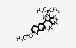 CCOc1ccc2cc(-c3nn(C(C)C)c4ncnc(N)c34)ccc2n1